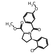 COC(=O)[C@@H]1CC[C@H](c2ccccc2Cl)N1C(=O)c1cccc(OC)c1